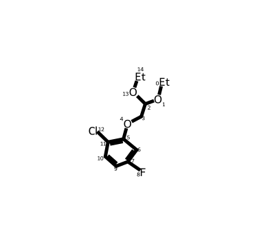 CCOC(COc1cc(F)ccc1Cl)OCC